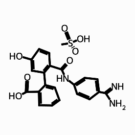 CS(=O)(=O)O.N=C(N)c1ccc(NC(=O)c2ccc(O)cc2-c2ccccc2C(=O)O)cc1